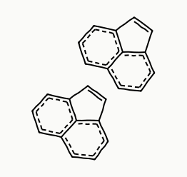 C1=Cc2cccc3cccc1c23.C1=Cc2cccc3cccc1c23